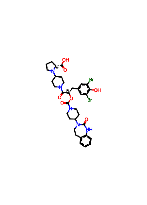 O=C(O)[C@H]1CCCN1C1CCN(C(=O)[C@@H](Cc2cc(Br)c(O)c(Br)c2)OC(=O)N2CCC(N3CCc4ccccc4NC3=O)CC2)CC1